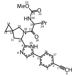 C#Cc1ccc(-c2cnc(C3CC4(CC4)CN3C(=O)C(NC(=O)OC)C(C)C)[nH]2)cc1